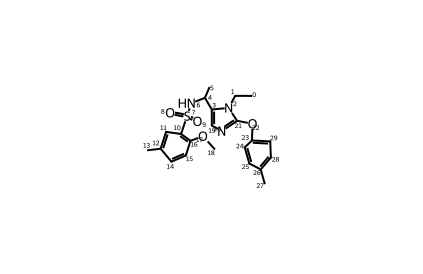 CCn1c(C(C)NS(=O)(=O)c2cc(C)ccc2OC)cnc1Oc1ccc(C)cc1